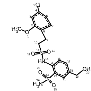 COc1cc(Cl)ccc1CCS(=O)(=O)Nc1ccc(CO)cc1S(N)(=O)=O